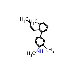 C=C/C=C\c1c(C)cccc1-c1ccc(NC)c(C)c1